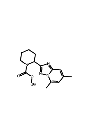 Cc1cc(C)n2nc(C3CCCCN3C(=O)OC(C)(C)C)nc2c1